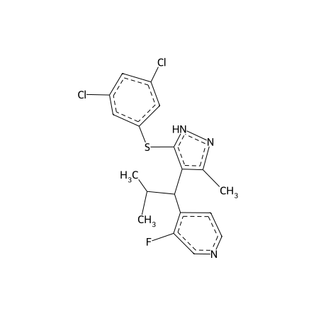 Cc1n[nH]c(Sc2cc(Cl)cc(Cl)c2)c1C(c1ccncc1F)C(C)C